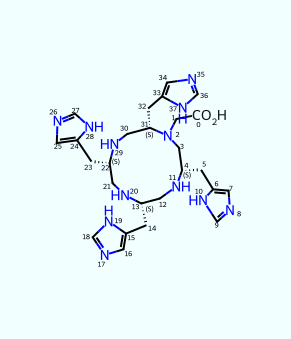 O=C(O)CN1C[C@H](Cc2cnc[nH]2)NC[C@H](Cc2cnc[nH]2)NC[C@H](Cc2cnc[nH]2)NC[C@@H]1Cc1cnc[nH]1